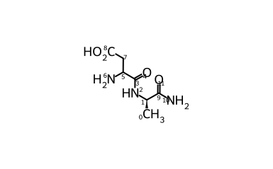 C[C@@H](NC(=O)C(N)CC(=O)O)C(N)=O